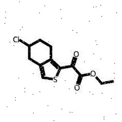 CCOC(=O)C(=O)c1scc2c1CCC(Cl)C2